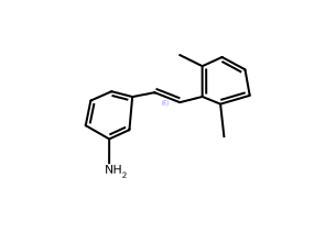 Cc1cccc(C)c1/C=C/c1cccc(N)c1